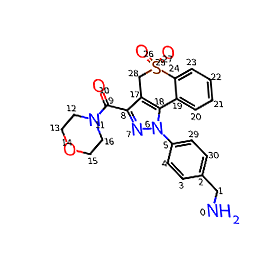 NCc1ccc(-n2nc(C(=O)N3CCOCC3)c3c2-c2ccccc2S(=O)(=O)C3)cc1